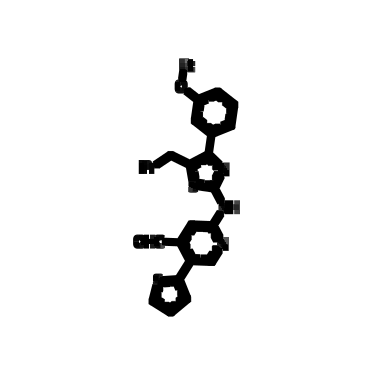 CCOc1cccc(-c2nc(Nc3cc(C=O)c(-c4cccs4)cn3)sc2CC(C)C)c1